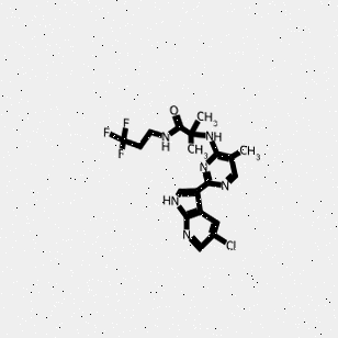 Cc1cnc(-c2c[nH]c3ncc(Cl)cc23)nc1NC(C)(C)C(=O)NCCC(F)(F)F